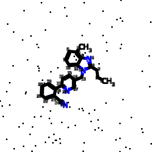 CCCc1nc2c(C)cccc2n1Cc1ccc(-c2ccccc2C#N)nc1